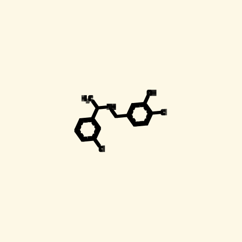 CC(NCc1ccc(Cl)c(O)c1)c1cccc(Cl)c1